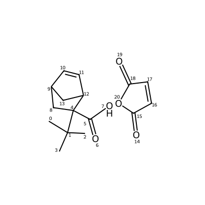 CC(C)(C)C1(C(=O)O)CC2C=CC1C2.O=C1C=CC(=O)O1